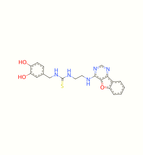 Oc1ccc(CNC(=S)NCCNc2ncnc3c2oc2ccccc23)cc1O